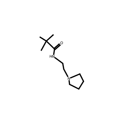 CC(C)(C)C(=O)NCCN1CCCC1